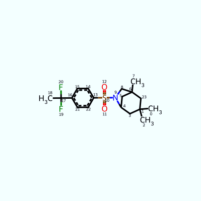 CC1(C)CC2CC(C)(CN2S(=O)(=O)c2ccc(C(C)(F)F)cc2)C1